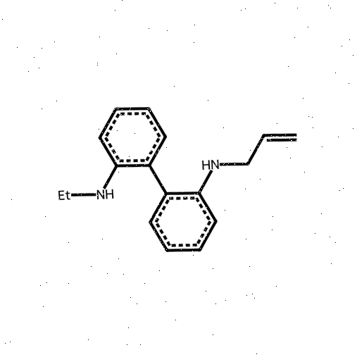 C=CCNc1ccccc1-c1ccccc1NCC